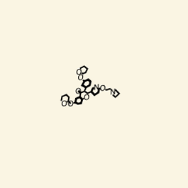 O=C1c2cc(OC3CCCCO3)ccc2OC(c2ccc(OCCN3CCCC3)nc2)C1c1cccc(OC2CCCCO2)c1